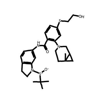 CC12CCN(c3cc(SCCO)ccc3C(=O)Nc3ccc4c(c3)N([S+]([O-])C(C)(C)C)CC4)CC1C2